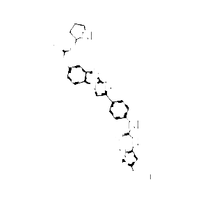 CC(C)(C)c1cc(NC(=O)Nc2ccc(-c3cn4c(n3)sc3cc(OC(=O)OC5CCCN5)ccc34)cc2)no1